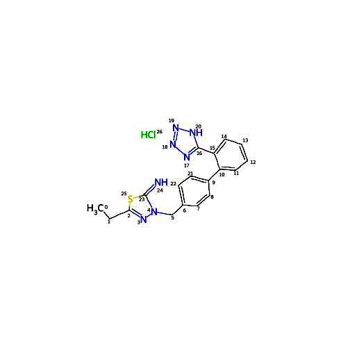 CCc1nn(Cc2ccc(-c3ccccc3-c3nnn[nH]3)cc2)c(=N)s1.Cl